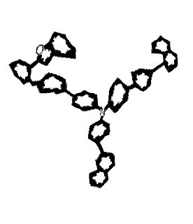 c1ccc(-c2cc3ccccc3o2)c(-c2ccc(-c3ccc(N(c4ccc(-c5ccc(-c6cccc7ccccc67)cc5)cc4)c4ccc(-c5ccc6ccccc6c5)cc4)cc3)cc2)c1